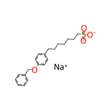 O=S(=O)([O-])CCCCCCCc1ccc(OCc2ccccc2)cc1.[Na+]